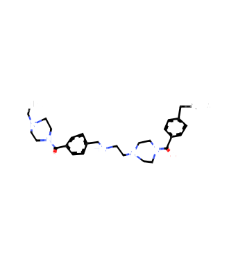 CC(=O)NCc1ccc(C(=O)N2CCN(CCNCc3ccc(C(=O)N4CCN(CC(C)(C)C)CC4)cc3)CC2)cc1